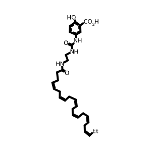 CC/C=C\C/C=C\C/C=C\C/C=C\C/C=C\C/C=C\CCC(=O)NCCNC(=O)Nc1ccc(O)c(C(=O)O)c1